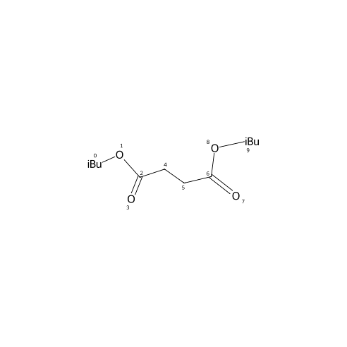 CCC(C)OC(=O)CCC(=O)OC(C)CC